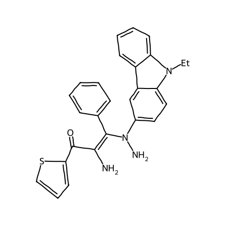 CCn1c2ccccc2c2cc(N(N)/C(=C(\N)C(=O)c3cccs3)c3ccccc3)ccc21